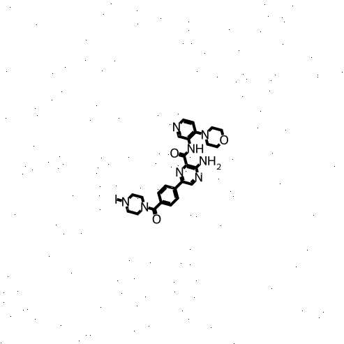 Nc1ncc(-c2ccc(C(=O)N3CCN(I)CC3)cc2)nc1C(=O)Nc1cnccc1N1CCOCC1